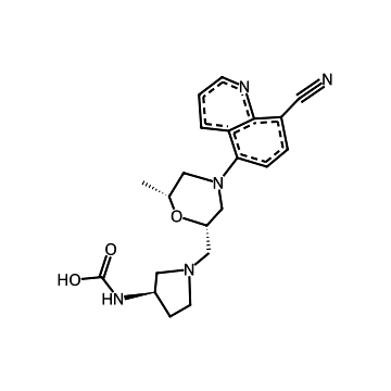 C[C@@H]1CN(c2ccc(C#N)c3ncccc23)C[C@H](CN2CC[C@@H](NC(=O)O)C2)O1